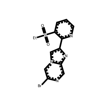 CCS(=O)(=O)c1cccnc1-c1cn2cc(Br)ncc2n1